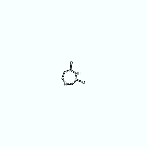 O=c1ccncc(=O)[nH]1